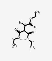 CCOC(=O)C(Br)C(C(=O)OCC)C(=O)OCC